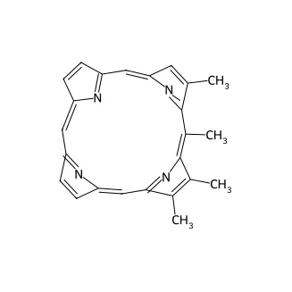 CC1=CC2=CC3=NC(=CC4=NC(=CC5=NC(=C(C)C1=N2)C(C)=C5C)C=C4)C=C3